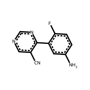 N#Cc1cncnc1-c1cc(N)ccc1F